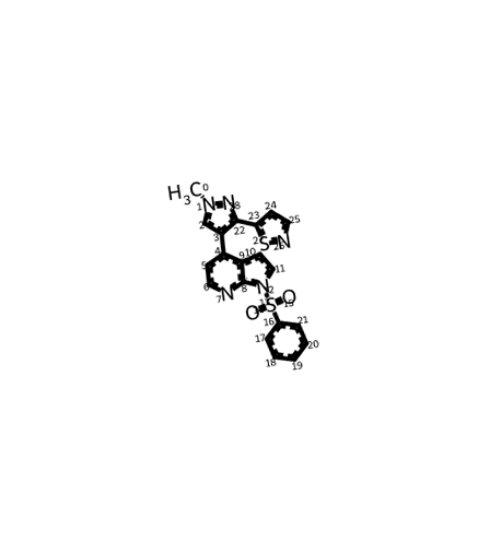 Cn1cc(-c2ccnc3c2ccn3S(=O)(=O)c2ccccc2)c(-c2ccns2)n1